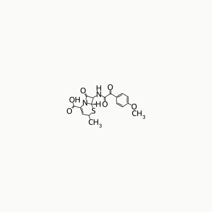 COc1ccc(C(=O)C(=O)NC2C(=O)N3C(C(=O)O)=CC(C)S[C@@H]23)cc1